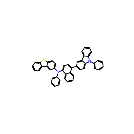 c1ccc(N(c2ccc3sc4ccccc4c3c2)c2ccc(-c3ccc4c(c3)c3ccccc3n4-c3ccccc3)c3ccccc23)cc1